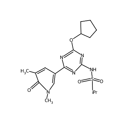 Cc1cc(-c2nc(NS(=O)(=O)C(C)C)nc(OC3CCCC3)n2)cn(C)c1=O